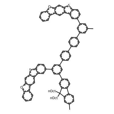 CCCCCCCCC1(CCCCCCCC)c2cc(C)ccc2-c2ccc(-c3cc(-c4ccc(-c5ccc(-c6cc(C)cc(-c7ccc8sc9cc%10oc%11ccccc%11c%10cc9c8c7)c6)cc5)cc4)cc(-c4ccc5sc6cc7oc8ccccc8c7cc6c5c4)c3)cc21